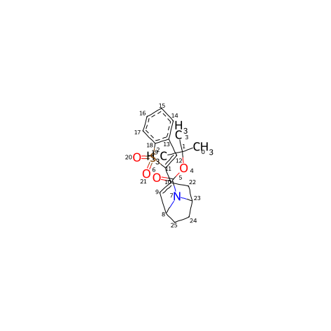 CC(C)(C)OC(=O)N1C2C=C(C3=Cc4ccccc4S3(=O)=O)CC1CC2